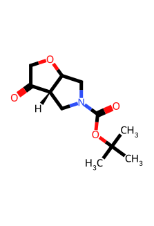 CC(C)(C)OC(=O)N1CC2OCC(=O)[C@H]2C1